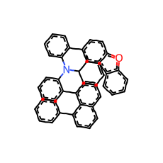 CC1C=CC=CC1N(c1ccccc1-c1ccc2oc3ccccc3c2c1)c1ccccc1-c1cccc2cccc(-c3ccccc3)c12